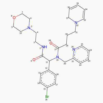 O=C(NCCN1CCOCC1)C(c1ccc(Br)cc1)N(Cc1ccccn1)C(=O)CCCN1C=CC=CC1